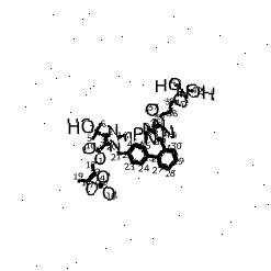 CCCc1nc(C(C)(C)O)c(C(=O)OCc2oc(=O)oc2C)n1Cc1ccc(-c2ccccc2-c2nnn(C(=O)CCON(O)O)n2)cc1